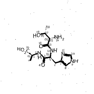 C[C@H](NC(=O)[C@H](Cc1c[nH]cn1)NC(=O)[C@@H](N)[C@@H](C)O)C(=O)O